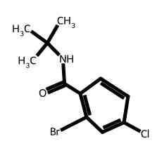 CC(C)(C)NC(=O)c1ccc(Cl)cc1Br